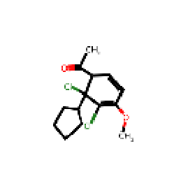 COC1=C(Cl)C(Cl)(C2CCCC2)C(C(C)=O)C=C1